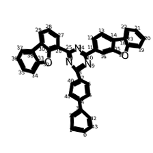 c1ccc(-c2ccc(-c3nc(-c4ccc5c(c4)oc4ccccc45)nc(-c4cccc5c4oc4ccccc45)n3)cc2)cc1